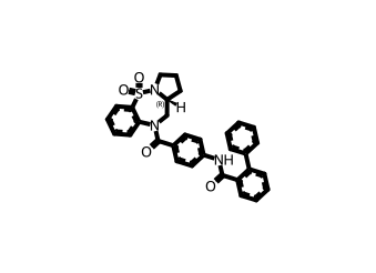 O=C(Nc1ccc(C(=O)N2C[C@H]3CCCN3S(=O)(=O)c3ccccc32)cc1)c1ccccc1-c1ccccc1